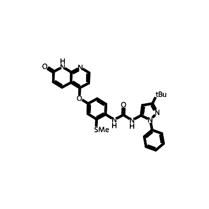 CSc1cc(Oc2ccnc3[nH]c(=O)ccc23)ccc1NC(=O)Nc1cc(C(C)(C)C)nn1-c1ccccc1